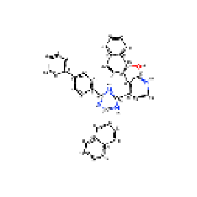 c1ccc(-c2ccc(-c3nc(-c4ccc5ccccc5c4)nc(-c4ccnc5oc6c7ccccc7ccc6c45)n3)cc2)cc1